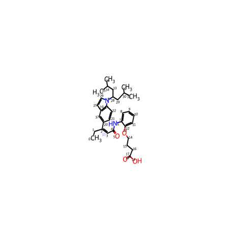 CC/C(=C/C(=O)Nc1ccccc1OCCCC(=O)O)c1ccc2c(ccn2C(CC(C)C)CC(C)C)c1